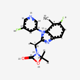 C[C@@H](c1nc2ccc(F)c(C#N)c2n1-c1cncc(F)c1)N1C(=O)OC1(C)C